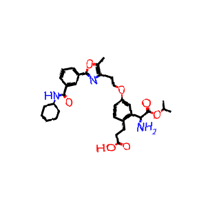 Cc1oc(-c2cccc(C(=O)NC3CCCCC3)c2)nc1CCOc1ccc(CCC(=O)O)c(C(N)C(=O)OC(C)C)c1